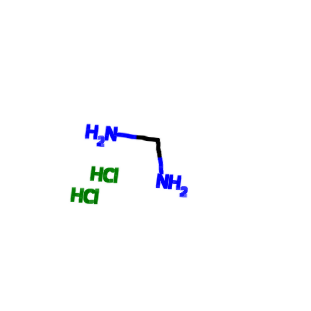 Cl.Cl.NCN